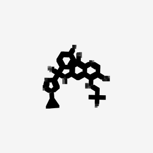 [2H]C(Nc1cc(Cl)c2ncc(C#N)c(NCC(C)(C)F)c2c1)(c1ccc(F)cc1)c1cn(C2CC2)nn1